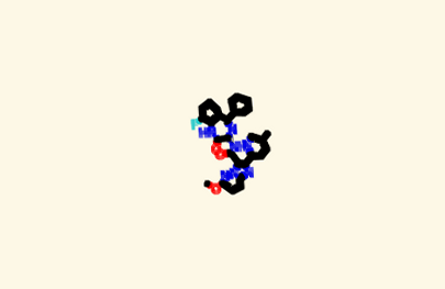 COc1ccc2nc(-c3ccc(C)cn3)c(C(=O)N[C@H]3N=C(c4ccccc4)c4cccc(F)c4NC3=O)n2n1